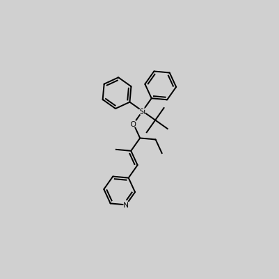 CCC(O[Si](c1ccccc1)(c1ccccc1)C(C)(C)C)C(C)=Cc1cccnc1